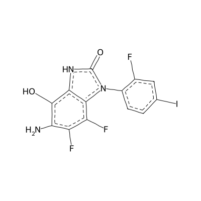 Nc1c(F)c(F)c2c([nH]c(=O)n2-c2ccc(I)cc2F)c1O